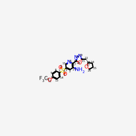 Nc1cc(S(=O)(=O)c2ccc(OC(F)(F)F)cc2)cnc1-c1nnc(C[C@@H]2CCCO2)o1